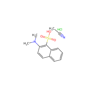 CC#N.CN(C)c1ccc2ccccc2c1S(=O)(=O)O.Cl